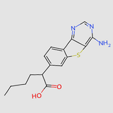 CCCCC(C(=O)O)c1ccc2c(c1)sc1c(N)ncnc12